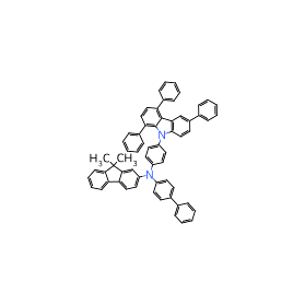 CC1(C)c2ccccc2-c2ccc(N(c3ccc(-c4ccccc4)cc3)c3ccc(-n4c5ccc(-c6ccccc6)cc5c5c(-c6ccccc6)ccc(-c6ccccc6)c54)cc3)cc21